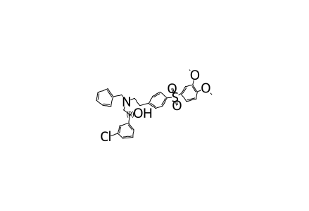 COc1ccc(S(=O)(=O)c2ccc(CCN(Cc3ccccc3)C[C@H](O)c3cccc(Cl)c3)cc2)cc1OC